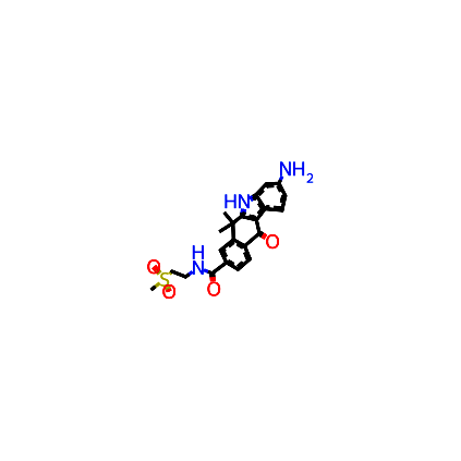 CC1(C)c2cc(C(=O)NCCS(C)(=O)=O)ccc2C(=O)c2c1[nH]c1cc(N)ccc21